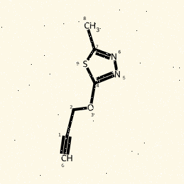 C#CCOc1nnc(C)s1